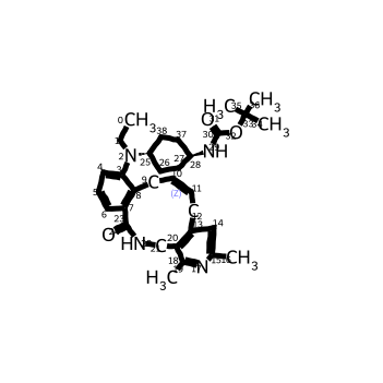 CCN(c1cccc2c1C/C=C\Cc1cc(C)nc(C)c1CNC2=O)[C@H]1CC[C@H](NC(=O)OC(C)(C)C)CC1